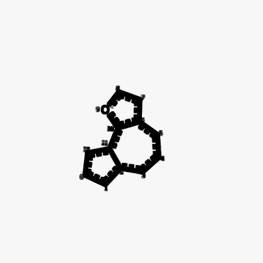 c1cc2cccc3ccoc3c-2c1